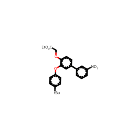 CCOC(=O)COc1ccc(-c2cccc([N+](=O)[O-])c2)cc1Oc1ccc(C(C)(C)C)cc1